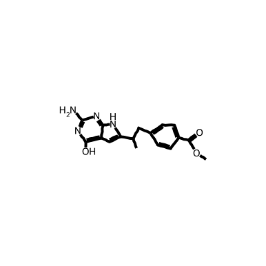 COC(=O)c1ccc(CC(C)c2cc3c(O)nc(N)nc3[nH]2)cc1